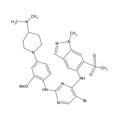 COc1cc(N2CCC(N(C)C)CC2)ccc1Nc1ncc(Br)c(Nc2cc3cnn(C)c3cc2S(C)(=O)=O)n1